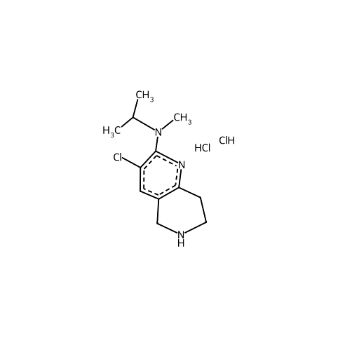 CC(C)N(C)c1nc2c(cc1Cl)CNCC2.Cl.Cl